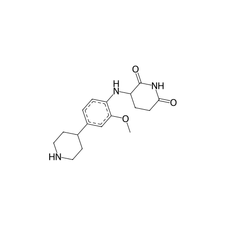 COc1cc(C2CCNCC2)ccc1NC1CCC(=O)NC1=O